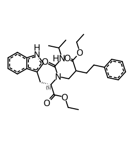 CCOC(=O)C(CCc1ccccc1)CN(C(=O)NC(C)C)[C@@H](Cc1c[nH]c2ccccc12)C(=O)OCC